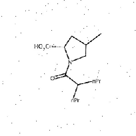 CCCC(CCC)C(=O)N1CC(C)C[C@H]1C(=O)O